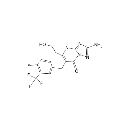 Nc1nc2[nH]c(CCO)c(Cc3ccc(F)c(C(F)(F)F)c3)c(=O)n2n1